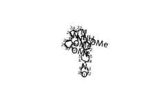 COc1cc(N2CCC(N3CCOCC3)CC2)ccc1Nc1ncc2ccc(-c3cccc(OC)c3OC)n2n1